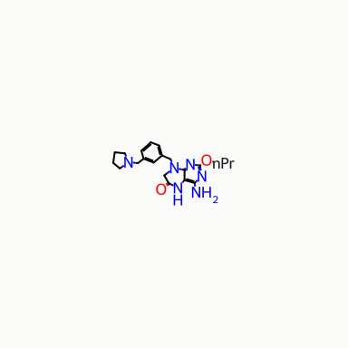 CCCOc1nc(N)c2c(n1)N(Cc1cccc(CN3CCCC3)c1)CC(=O)N2